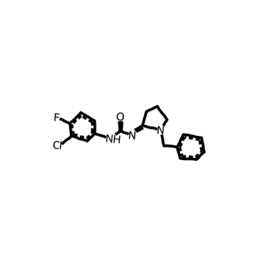 O=C(N=C1CCCN1Cc1ccccc1)Nc1ccc(F)c(Cl)c1